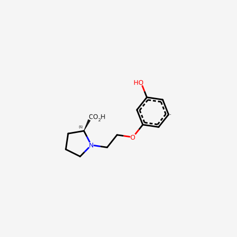 O=C(O)[C@@H]1CCCN1CCOc1c[c]cc(O)c1